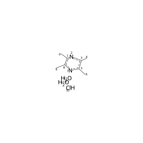 Cc1nc(C)c(C)nc1C.Cl.O.O